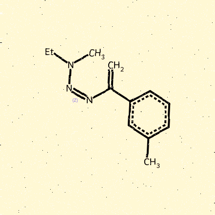 C=C(/N=N\N(C)CC)c1cccc(C)c1